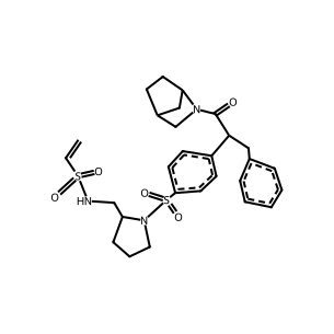 C=CS(=O)(=O)NCC1CCCN1S(=O)(=O)c1ccc(C(Cc2ccccc2)C(=O)N2CC3CCC2C3)cc1